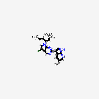 C=C[C@H]([C@@H](C=C)C(=O)OCC)n1cc(F)c2cnc(-c3c[nH]c4ncc(C#N)cc34)nc21